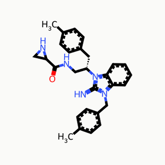 Cc1ccc(C[C@@H](CNC(=O)C2CN2)n2c(=N)n(Cc3ccc(C)cc3)c3ccccc32)cc1